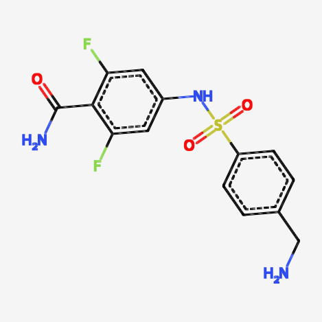 NCc1ccc(S(=O)(=O)Nc2cc(F)c(C(N)=O)c(F)c2)cc1